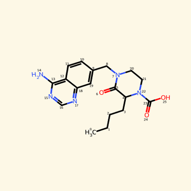 CCCCC1C(=O)N(Cc2ccc3c(N)ncnc3c2)CCN1C(=O)O